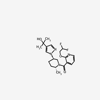 C[C@@H]1CC[C@@H](n2cc(C(C)(C)O)cn2)CN1C(=O)c1cccnc1OCC(F)F